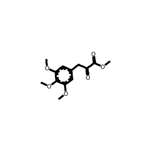 COC(=O)C(=O)Cc1cc(OC)c(OC)c(OC)c1